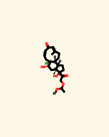 CCOC(C)OCC(=O)[C@@]1(O)CC[C@H]2[C@@H]3CC/C(C)=C/C(=O)/C=C\C[C@@]3(F)[C@@H](O)C[C@@]21C